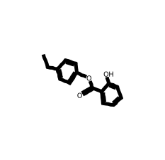 CCc1ccc(OC(=O)c2ccccc2O)cc1